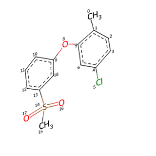 Cc1ccc(Cl)cc1Oc1cccc(S(C)(=O)=O)c1